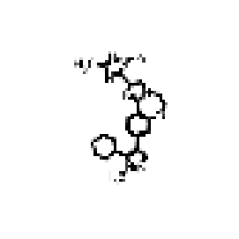 Cc1nc(-c2cn3c(n2)-c2ccc(-c4cnn(C)c4C4CCCCC4)cc2OCC3)n(C(C)C)n1